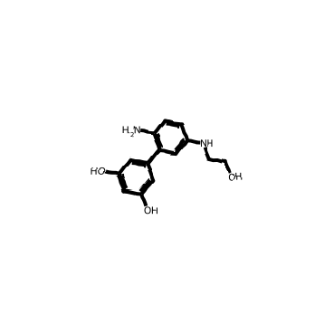 Nc1ccc(NCCO)cc1-c1cc(O)cc(O)c1